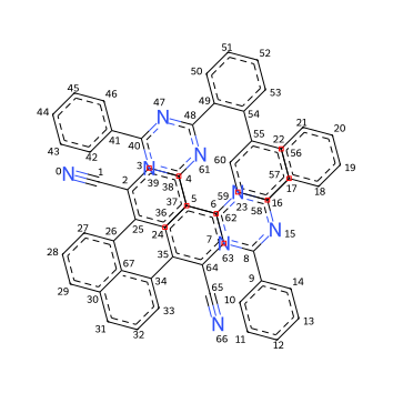 N#Cc1ccc(-c2nc(-c3ccccc3)nc(-c3ccccc3)n2)cc1-c1cccc2cccc(-c3cc(-c4nc(-c5ccccc5)nc(-c5ccccc5-c5ccccc5)n4)ccc3C#N)c12